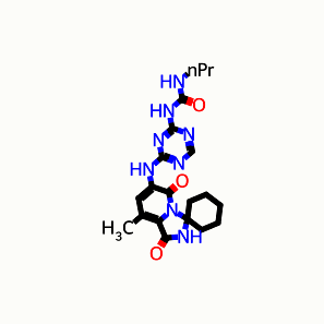 CCCNC(=O)Nc1ncnc(Nc2cc(C)c3n(c2=O)C2(CCCCC2)NC3=O)n1